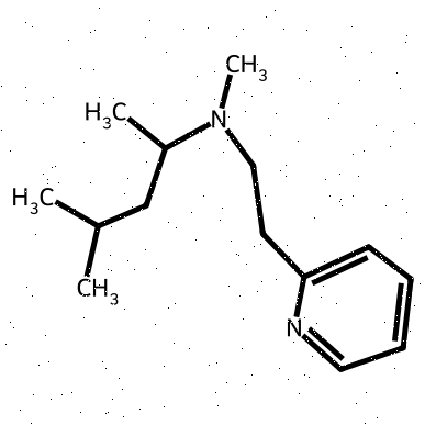 CC(C)CC(C)N(C)CCc1ccccn1